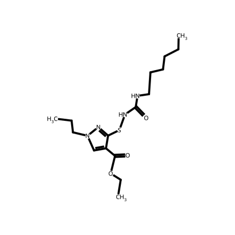 CCCCCCNC(=O)NSc1nn(CCC)cc1C(=O)OCC